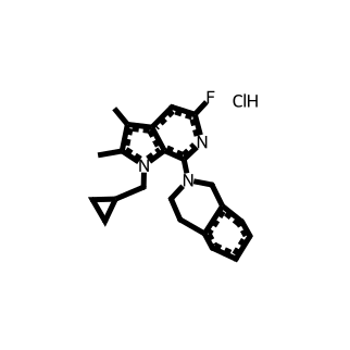 Cc1c(C)n(CC2CC2)c2c(N3CCc4ccccc4C3)nc(F)cc12.Cl